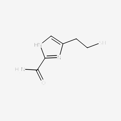 NC(=O)c1nc(CCS)c[nH]1